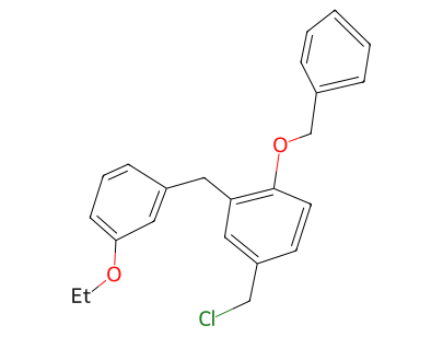 CCOc1cccc(Cc2cc(CCl)ccc2OCc2ccccc2)c1